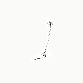 [O]CCC(=O)CCCS(=O)(=O)NC(=O)CCCCCCCCCCCCCCCc1nnn[nH]1